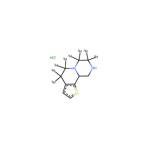 Cl.[2H]C1([2H])NCC2c3sccc3C([2H])([2H])C([2H])([2H])N2C1([2H])[2H]